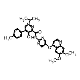 COc1cc2nccc(Oc3cnc(NC(=O)c4nn(C(C)C)cc(-c5ccc(C)cc5)c4=O)nc3)c2cc1OC